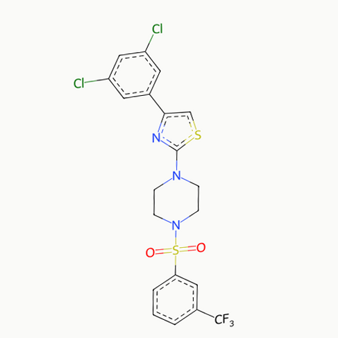 O=S(=O)(c1cccc(C(F)(F)F)c1)N1CCN(c2nc(-c3cc(Cl)cc(Cl)c3)cs2)CC1